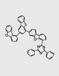 c1ccc(-c2nc(-c3ccccc3)nc(-c3cccc4c3oc3cc(-c5cc(-c6cccc7oc8ccccc8c67)cc6c5sc5ccccc56)ccc34)n2)cc1